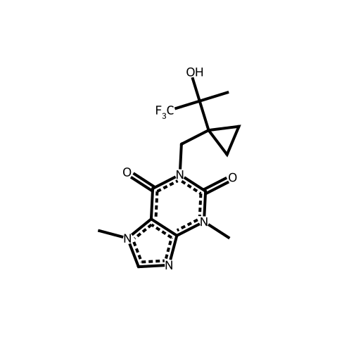 Cn1cnc2c1c(=O)n(CC1(C(C)(O)C(F)(F)F)CC1)c(=O)n2C